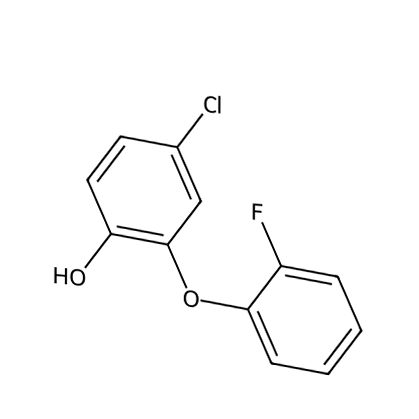 Oc1ccc(Cl)cc1Oc1ccccc1F